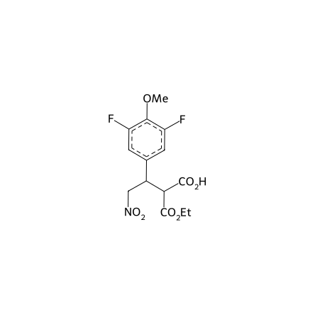 CCOC(=O)C(C(=O)O)C(C[N+](=O)[O-])c1cc(F)c(OC)c(F)c1